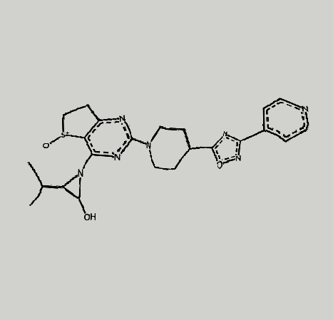 CC(C)C1C(O)N1c1nc(N2CCC(c3nc(-c4ccncc4)no3)CC2)nc2c1[S+]([O-])CC2